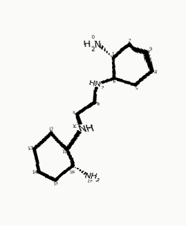 N[C@@H]1CCCCC1NCCNC1CCCC[C@H]1N